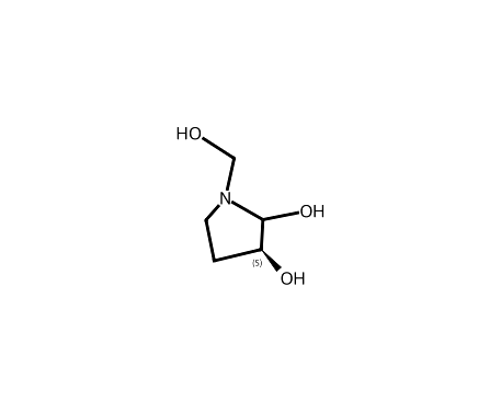 OCN1CC[C@H](O)C1O